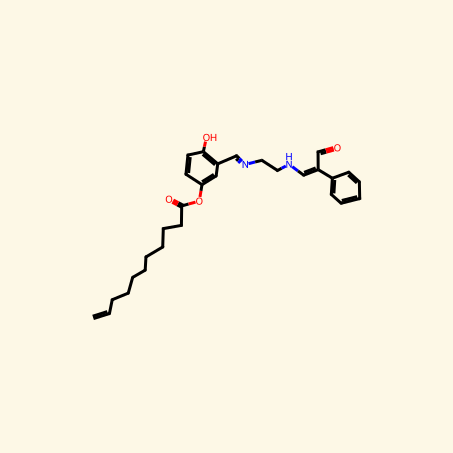 C=CCCCCCCCCC(=O)Oc1ccc(O)c(C=NCCNC=C(C=O)c2ccccc2)c1